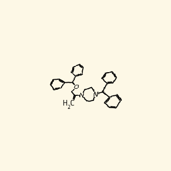 C=C(COC(c1ccccc1)c1ccccc1)N1CCN(C(c2ccccc2)c2ccccc2)CC1